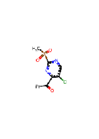 CC(C)C(=O)c1nc(S(C)(=O)=O)ncc1Cl